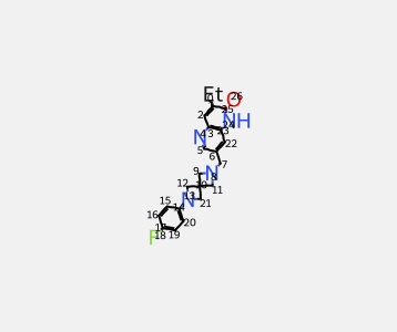 CCc1cc2ncc(CN3CC4(C3)CN(c3ccc(F)cc3)C4)cc2[nH]c1=O